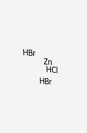 Br.Br.Cl.[Zn]